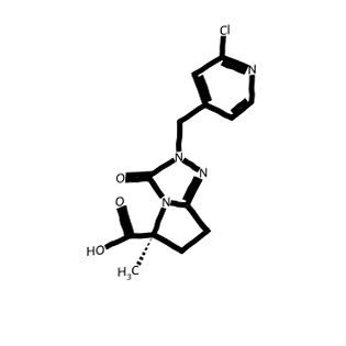 C[C@@]1(C(=O)O)CCc2nn(Cc3ccnc(Cl)c3)c(=O)n21